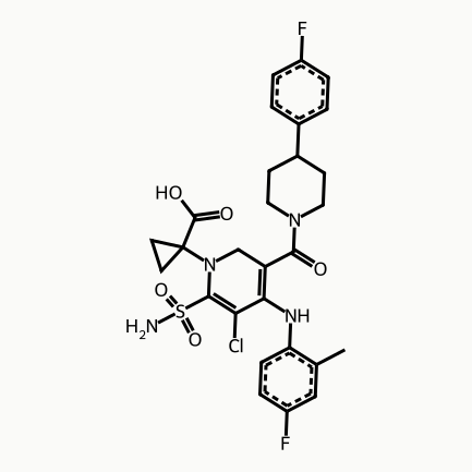 Cc1cc(F)ccc1NC1=C(C(=O)N2CCC(c3ccc(F)cc3)CC2)CN(C2(C(=O)O)CC2)C(S(N)(=O)=O)=C1Cl